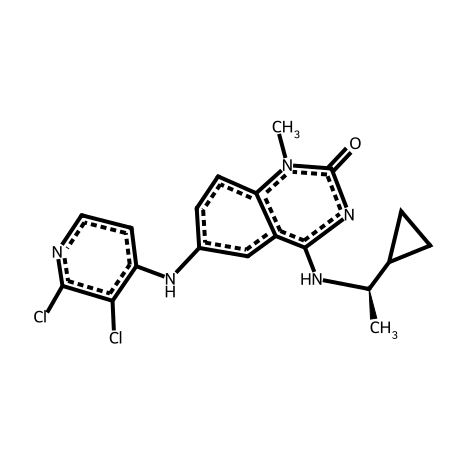 C[C@@H](Nc1nc(=O)n(C)c2ccc(Nc3ccnc(Cl)c3Cl)cc12)C1CC1